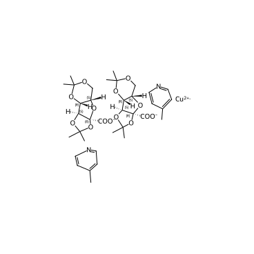 CC1(C)OC[C@@H]2O[C@@]3(C(=O)[O-])OC(C)(C)O[C@H]3[C@@H]2O1.CC1(C)OC[C@@H]2O[C@@]3(C(=O)[O-])OC(C)(C)O[C@H]3[C@@H]2O1.Cc1ccncc1.Cc1ccncc1.[Cu+2]